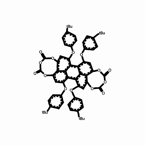 CC(C)(C)c1ccc(Oc2cc3c4c(cc(Oc5ccc(C(C)(C)C)cc5)c5c6c(Oc7ccc(C(C)(C)C)cc7)cc7c8c(cc(Oc9ccc(C(C)(C)C)cc9)c(c2c45)c86)OC(=O)OC(=O)O7)OC(=O)OC(=O)O3)cc1